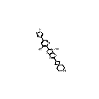 Cl.Oc1cc(-c2cn[nH]c2)cnc1-c1nc2sc(N3CC4(CCNCC4)C3)nc2s1